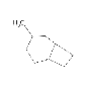 CC1CC[C]2CCC2C1